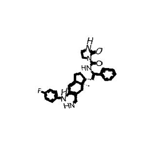 C[C@]12CC(C=N)=C(Nc3ccc(F)cc3)C=C1CC[C@@H]2CC(NC(=O)N1CCNC1=O)c1ccccc1